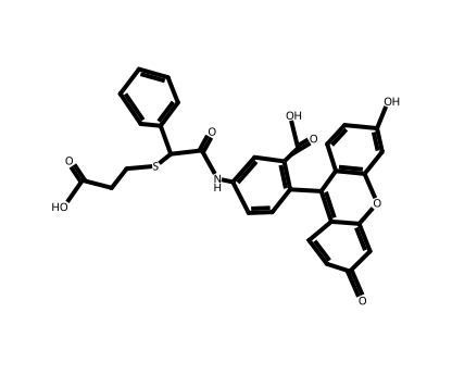 O=C(O)CCSC(C(=O)Nc1ccc(-c2c3ccc(=O)cc-3oc3cc(O)ccc23)c(C(=O)O)c1)c1ccccc1